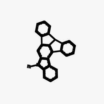 CCn1c2ccccc2c2c3c4c(cc21)-c1ccccc1C4c1ccccc1-3